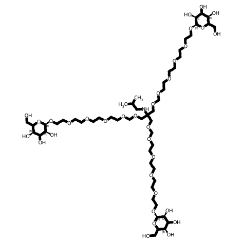 CC(C)CNC(COCOCCOCCOCCOCCO[C@@H]1OC(CO)[C@H](O)C(O)[C@@H]1O)(COCOCCOCCOCCOCCO[C@@H]1OC(CO)[C@H](O)C(O)[C@@H]1O)COCOCCOCCOCCOCCO[C@@H]1OC(CO)[C@H](O)C(O)[C@@H]1O